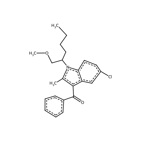 CCCCC(COC)n1c(C)c(C(=O)c2ccccc2)c2cc(Cl)ccc21